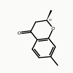 Cc1ccc2c(c1)O[C@H](C)CC2=O